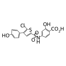 O=C(O)c1ccc(NS(=O)(=O)c2cc(-c3ccc(O)cc3)c(Cl)s2)cc1O